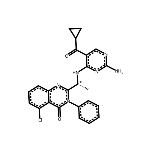 C[C@@H](Nc1nc(N)ncc1C(=O)C1CC1)c1nc2cccc(Cl)c2c(=O)n1-c1ccccc1